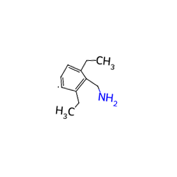 CCc1[c]ccc(CC)c1CN